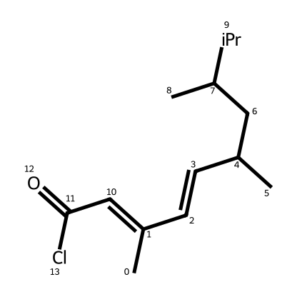 CC(C=CC(C)CC(C)C(C)C)=CC(=O)Cl